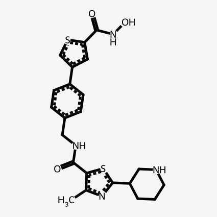 Cc1nc(C2CCCNC2)sc1C(=O)NCc1ccc(-c2csc(C(=O)NO)c2)cc1